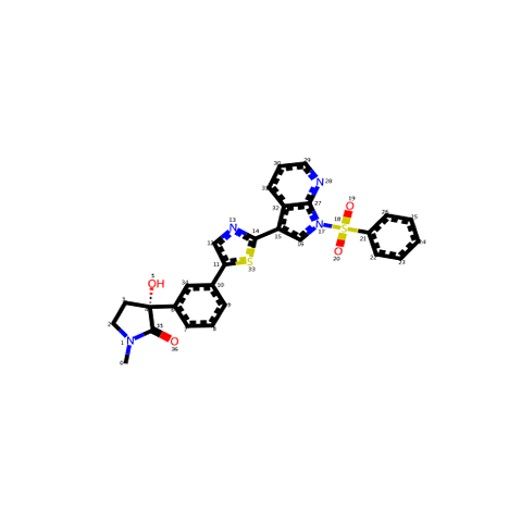 CN1CC[C@@](O)(c2cccc(-c3cnc(-c4cn(S(=O)(=O)c5ccccc5)c5ncccc45)s3)c2)C1=O